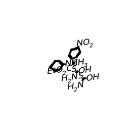 CCOC(C)=O.NC(O)=S.NC(O)=S.O=[N+]([O-])c1ccc(Nc2ccccc2)cc1